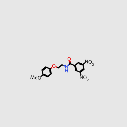 COc1ccc(OCCNC(=O)c2cc([N+](=O)[O-])cc([N+](=O)[O-])c2)cc1